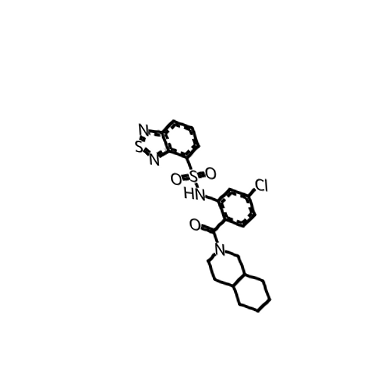 O=C(c1ccc(Cl)cc1NS(=O)(=O)c1cccc2nsnc12)N1CCC2CCCCC2C1